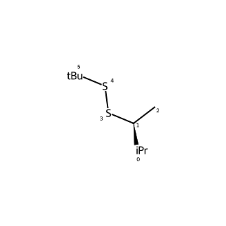 CC(C)[C@H](C)SSC(C)(C)C